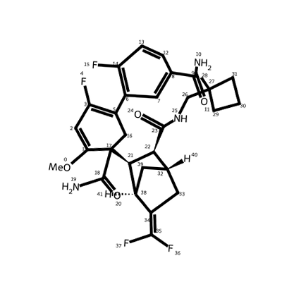 COC1=CC(F)=C(c2cc(C(N)=O)ccc2F)CC1(C(N)=O)[C@H]1[C@@H](C(=O)NCC2(C)CCC2)[C@@H]2CC(=C(F)F)[C@@H]1C2